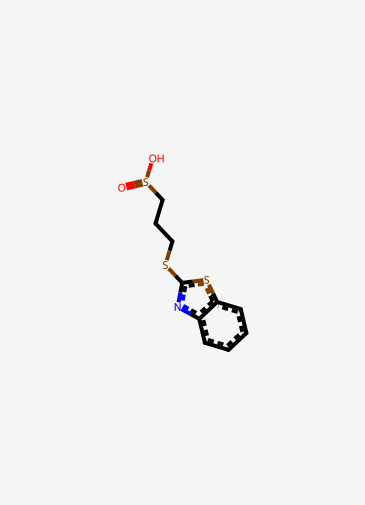 O=S(O)CCCSc1nc2ccccc2s1